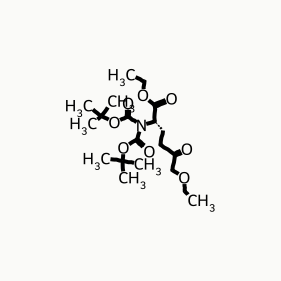 CCOCC(=O)CC[C@@H](C(=O)OCC)N(C(=O)OC(C)(C)C)C(=O)OC(C)(C)C